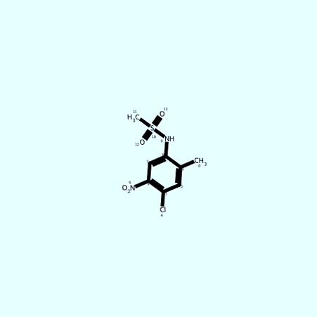 Cc1cc(Cl)c([N+](=O)[O-])cc1NS(C)(=O)=O